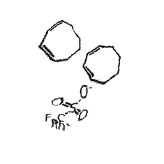 C1=C\CCCC\C=C/1.C1=C\CCCC\C=C/1.O=S(=O)([O-])C(F)(F)F.[Rh+]